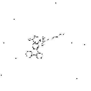 CCCCCCCCS(=O)(=O)Nc1cc(-c2ccccc2-c2ccccc2)ccc1C(=O)O